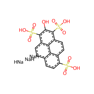 O=S(=O)(O)c1ccc2ccc3c(S(=O)(=O)O)c(O)c(S(=O)(=O)O)c4ccc1c2c34.[NaH].[NaH].[NaH]